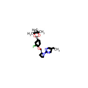 CCc1cnc(N2CCC[C@H]2COc2ccc(B3OC(C)(C)C(C)(C)O3)cc2F)nc1